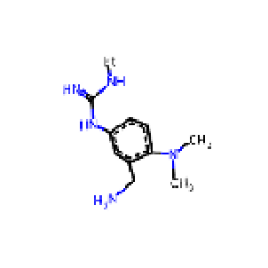 CCNC(=N)Nc1ccc(N(C)C)c(CN)c1